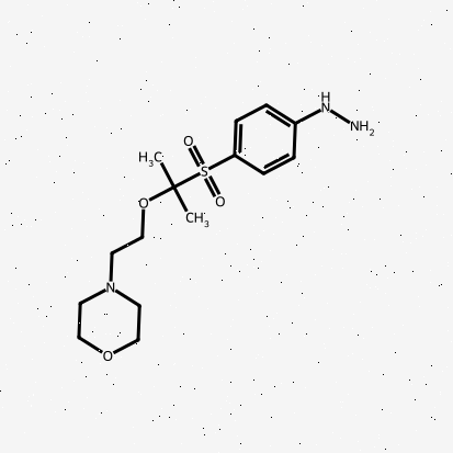 CC(C)(OCCN1CCOCC1)S(=O)(=O)c1ccc(NN)cc1